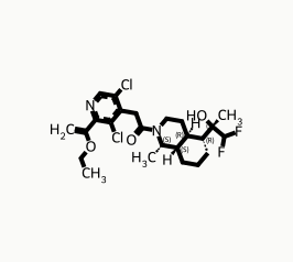 C=C(OCC)c1ncc(Cl)c(CC(=O)N2CC[C@@H]3[C@H](CCC[C@H]3[C@](C)(O)C(F)F)[C@@H]2C)c1Cl